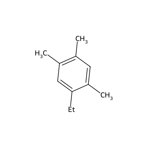 [CH2]Cc1cc(C)c(C)cc1C